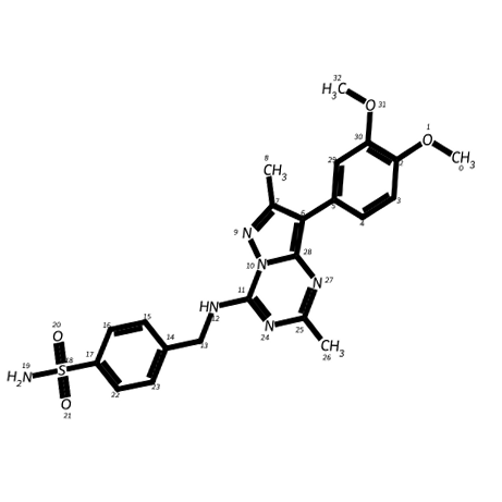 COc1ccc(-c2c(C)nn3c(NCc4ccc(S(N)(=O)=O)cc4)nc(C)nc23)cc1OC